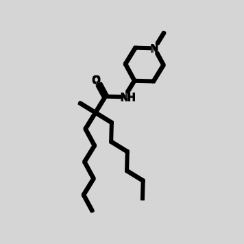 CCCCCCC(C)(CCCCCC)C(=O)NC1CCN(C)CC1